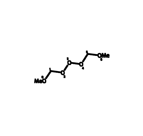 COCOOOCOC